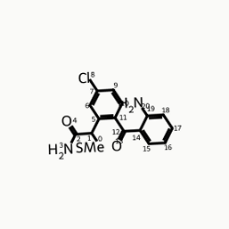 CSC(C(N)=O)c1cc(Cl)ccc1C(=O)c1ccccc1N